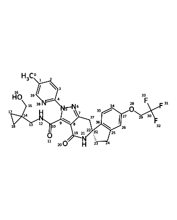 Cc1ccc(-n2nc3c(c2C(=O)NCC2(CO)CC2)C(=O)N[C@@]2(CCc4cc(OCC(F)(F)F)ccc42)C3)nc1